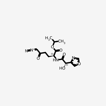 CC(C)OC(=O)[C@H](CCC(=O)C=[N+]=[N-])NC(=O)[C@@H](O)c1cocn1